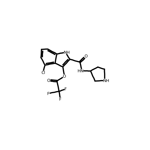 O=C(NC1CCNC1)c1[nH]c2cccc(Cl)c2c1OC(=O)C(F)(F)F